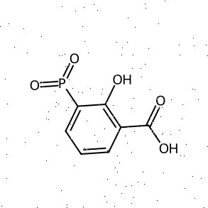 O=C(O)c1cccc(P(=O)=O)c1O